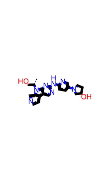 C[C@@H](CO)n1c2cnccc2c2cnc(Nc3ccc(N4CC[C@@H](O)C4)cn3)nc21